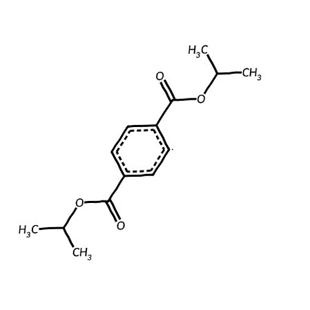 CC(C)OC(=O)c1[c]cc(C(=O)OC(C)C)cc1